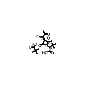 CC(=O)/C(Cl)=C1/C(=O)N2[C@@H]1SC(C)(C)[C@@H]2C(=O)O.CC(C)(C)C(=O)O